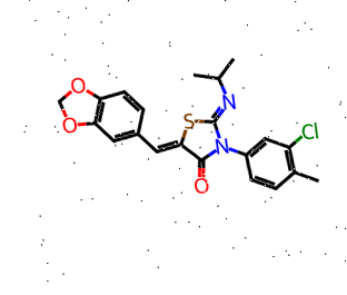 Cc1ccc(N2C(=O)/C(=C/c3ccc4c(c3)OCO4)S/C2=N\C(C)C)cc1Cl